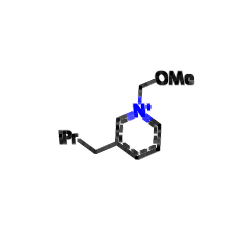 COC[n+]1cccc(CC(C)C)c1